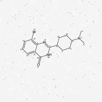 CN(C)C1CCC(c2nc3c(Br)cccc3c(=O)[nH]2)CC1